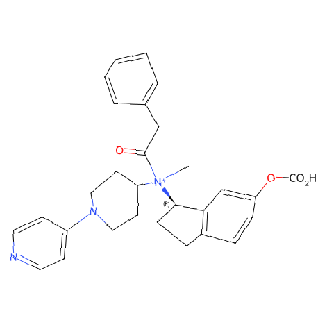 C[N+](C(=O)Cc1ccccc1)(C1CCN(c2ccncc2)CC1)[C@@H]1CCc2ccc(OC(=O)O)cc21